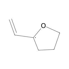 C=C[C]1CCCO1